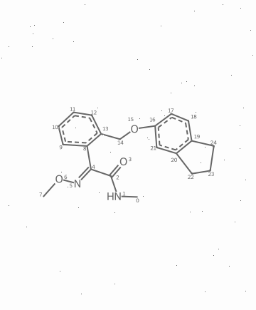 CNC(=O)/C(=N/OC)c1ccccc1COc1ccc2c(c1)CCC2